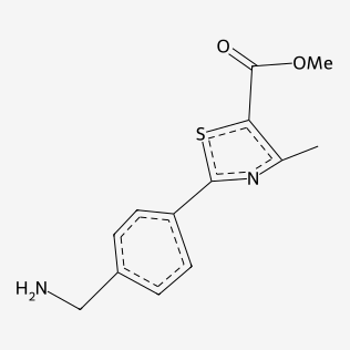 COC(=O)c1sc(-c2ccc(CN)cc2)nc1C